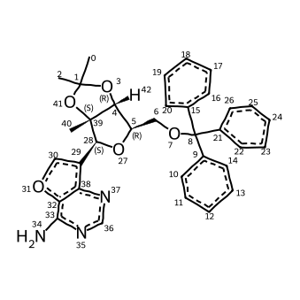 CC1(C)O[C@@H]2[C@@H](COC(c3ccccc3)(c3ccccc3)c3ccccc3)O[C@@H](c3coc4c(N)ncnc34)[C@]2(C)O1